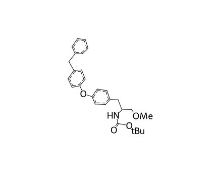 COCC(Cc1ccc(Oc2ccc(Cc3ccccc3)cc2)cc1)NC(=O)OC(C)(C)C